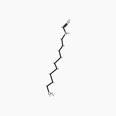 [CH2]CCCCCCCCC[N]C=O